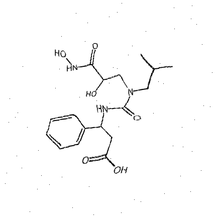 CC(C)CN(CC(O)C(=O)NO)C(=O)NC(CC(=O)O)c1ccccc1